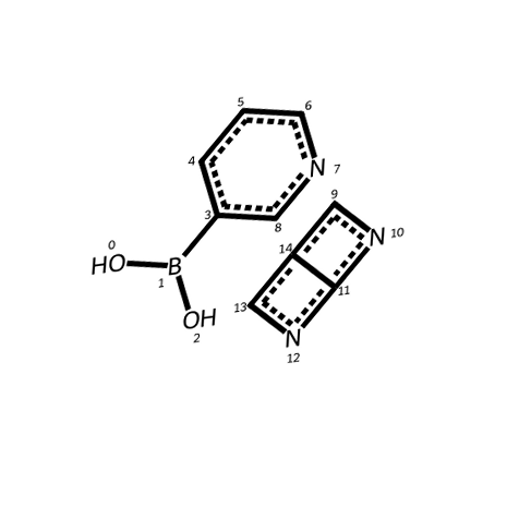 OB(O)c1cccnc1.c1nc2ncc1-2